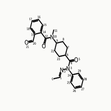 C/C=N/N(C(=O)C1CCC(N(C)C(=O)c2ccccc2C=O)CC1)c1ccccc1